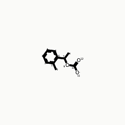 Cc1ccccc1C(C)OC([O])=O